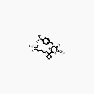 COC(=O)[C@H](Cc1ccc([N+](=O)[O-])cc1)NC(=O)C1(CCCCS(C)(=O)=O)CCC1